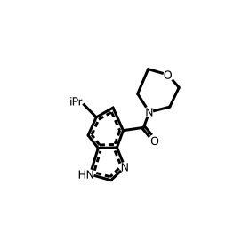 CC(C)c1cc(C(=O)N2CCOCC2)c2nc[nH]c2c1